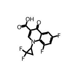 O=C(O)c1cn(C2CC2(F)F)c2c(F)cc(F)cc2c1=O